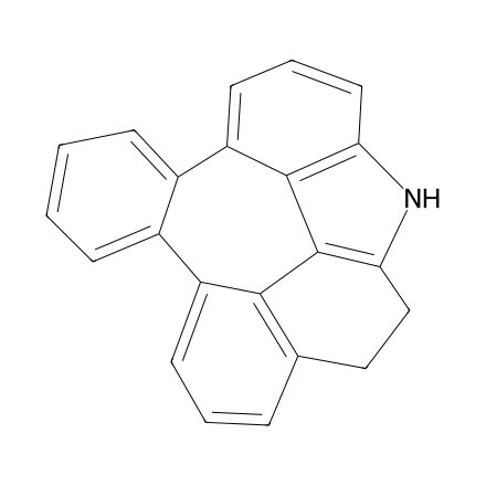 c1ccc2c(c1)-c1cccc3c1-c1c([nH]c4cccc-2c14)CC3